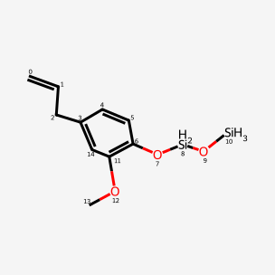 C=CCc1ccc(O[SiH2]O[SiH3])c(OC)c1